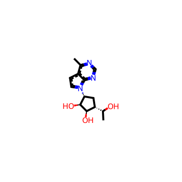 Cc1ncnc2c1ccn2[C@@H]1C[C@H](C(C)O)[C@@H](O)[C@H]1O